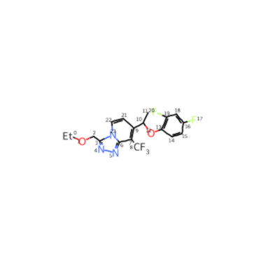 CCOCc1nnc2c(C(F)(F)F)c(C(C)Oc3ccc(F)cc3F)ccn12